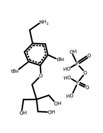 CC(C)(C)c1cc(CN)cc(C(C)(C)C)c1OCC(CO)(CO)CO.O=P(O)(O)OP(=O)(O)O